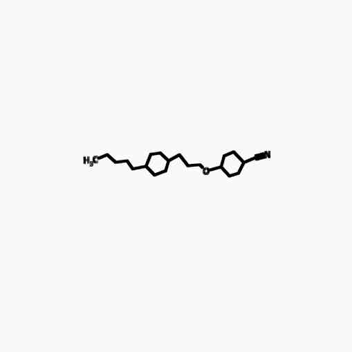 CCCCCC1CCC(CCCOC2CCC(C#N)CC2)CC1